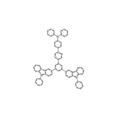 c1ccc(N(c2ccccc2)c2ccc(-c3ccc(-c4cc(-c5ccc6c(c5)c5ccccc5n6-c5ccccc5)cc(-c5ccc6c(c5)c5ccccc5n6-c5ccccc5)c4)cn3)cc2)cc1